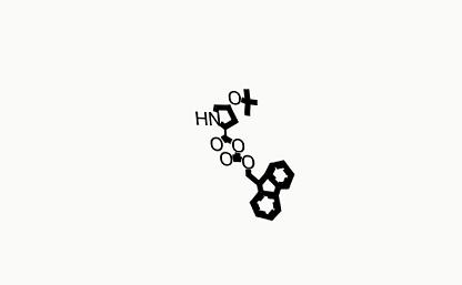 CC(C)(C)O[C@H]1CN[C@H](C(=O)OC(=O)OCC2c3ccccc3-c3ccccc32)C1